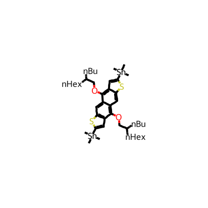 CCCCCCC(CCCC)COc1c2c[c]([Sn]([CH3])([CH3])[CH3])sc2cc2c(OCC(CCCC)CCCCCC)c3c[c]([Sn]([CH3])([CH3])[CH3])sc3cc12